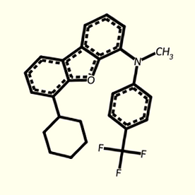 CN(c1ccc(C(F)(F)F)cc1)c1cccc2c1oc1c(C3CCCCC3)cccc12